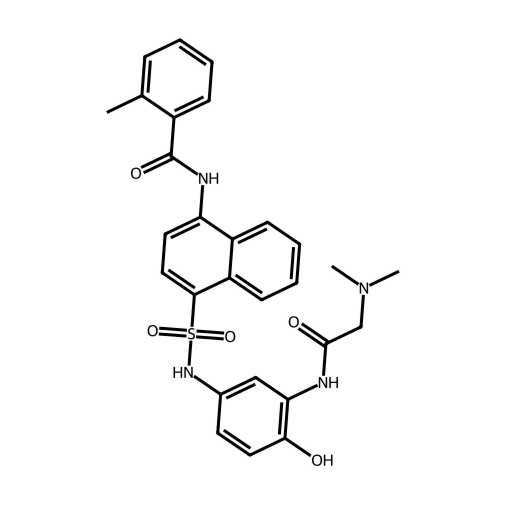 Cc1ccccc1C(=O)Nc1ccc(S(=O)(=O)Nc2ccc(O)c(NC(=O)CN(C)C)c2)c2ccccc12